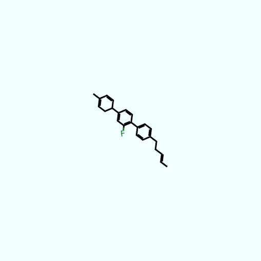 C/C=C/CCc1ccc(-c2ccc(C3C=CC(C)=CC3)cc2F)cc1